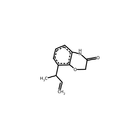 C=CC(C)c1cccc2c1OCC(=O)N2